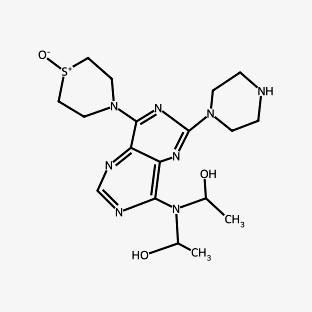 CC(O)N(c1ncnc2c(N3CC[S+]([O-])CC3)nc(N3CCNCC3)nc12)C(C)O